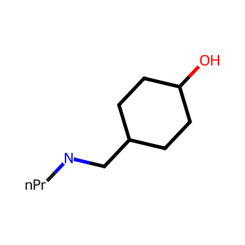 CCC[N]CC1CCC(O)CC1